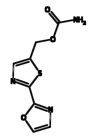 NC(=O)OCc1cnc(-c2ncco2)s1